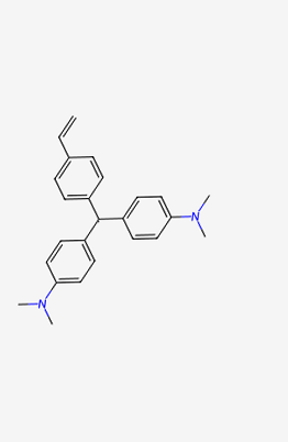 C=Cc1ccc([C](c2ccc(N(C)C)cc2)c2ccc(N(C)C)cc2)cc1